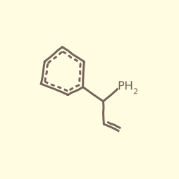 C=CC(P)c1ccccc1